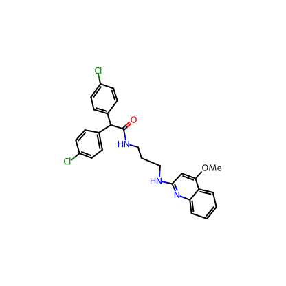 COc1cc(NCCCNC(=O)C(c2ccc(Cl)cc2)c2ccc(Cl)cc2)nc2ccccc12